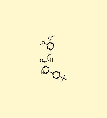 COc1ccc(CCNC(=O)c2cncc(-c3ccc(C(C)(C)C)cc3)c2)cc1OC